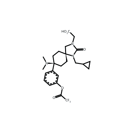 CN(C)[C@]1(c2cccc(OC(=O)C(F)(F)F)c2)CC[C@@]2(CC1)CN(CC(=O)O)C(=O)N2CC1CC1